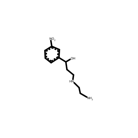 NCCNCCC(O)c1cccc([N+](=O)[O-])c1